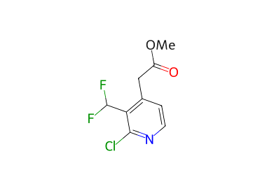 COC(=O)Cc1ccnc(Cl)c1C(F)F